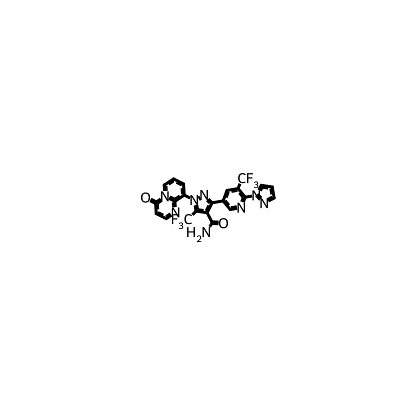 NC(=O)c1c(-c2cnc(-n3cccn3)c(C(F)(F)F)c2)nn(-c2cccn3c(=O)ccnc23)c1C(F)(F)F